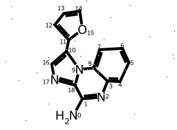 Nc1nc2ccccc2n2c(-c3ccco3)cnc12